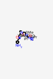 CC[C@H](C)[C@@H]([C@@H](CC(=O)N1CCC[C@H]1[C@H](OC)[C@@H](C)C(=O)N(C)CCc1ccc(N)cc1)OC)N(C)CC(C=O)(NC(=O)[C@@H](C(C)C)N(C)C)C(C)C